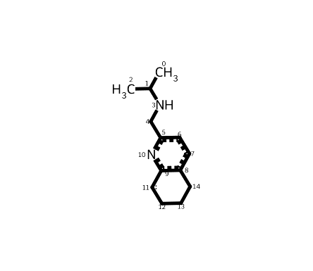 CC(C)NCc1ccc2c(n1)[C]CCC2